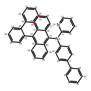 c1ccc(-c2ccc(N(c3ccccn3)c3c4ccccc4c(-c4ccccc4-c4ccccc4)c4ccccc34)cc2)cc1